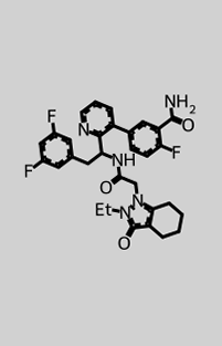 CCn1c(=O)c2c(n1CC(=O)NC(Cc1cc(F)cc(F)c1)c1ncccc1-c1ccc(F)c(C(N)=O)c1)CCCC2